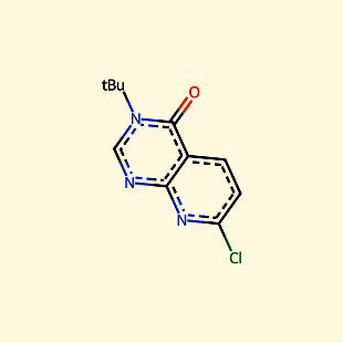 CC(C)(C)n1cnc2nc(Cl)ccc2c1=O